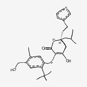 Cc1cc(SC2=C(O)C[C@](CCc3ccsc3)(C(C)C)OC2=O)c(C(C)(C)C)cc1CO